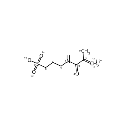 C=C(C)C(=O)NCCCS(=O)(=O)[O-].[Li+]